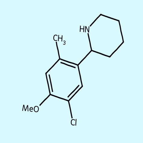 COc1cc(C)c(C2CCCCN2)cc1Cl